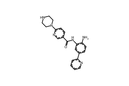 Nc1ccc(-c2ccccn2)cc1NC(=O)c1ccc(N2CCNCC2)nc1